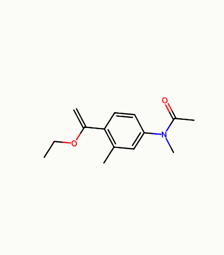 C=C(OCC)c1ccc(N(C)C(C)=O)cc1C